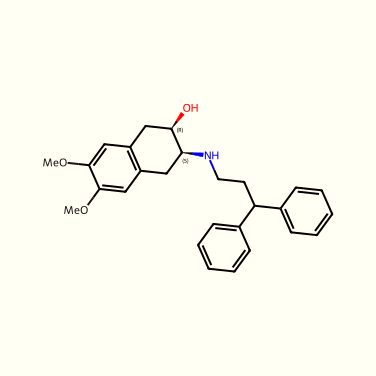 COc1cc2c(cc1OC)C[C@H](NCCC(c1ccccc1)c1ccccc1)[C@H](O)C2